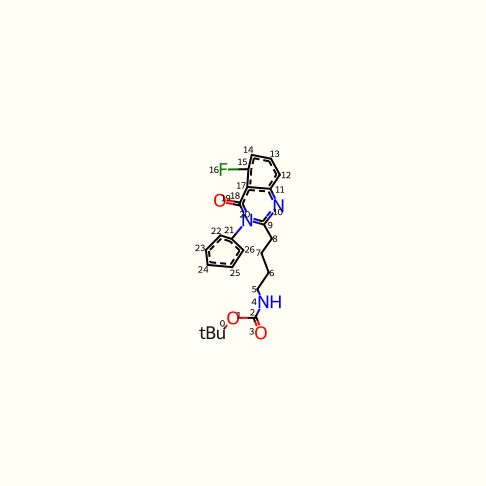 CC(C)(C)OC(=O)NCCCCc1nc2cccc(F)c2c(=O)n1-c1ccccc1